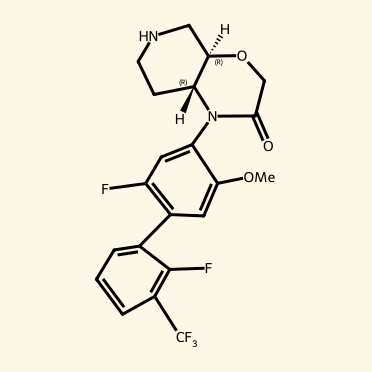 COc1cc(-c2cccc(C(F)(F)F)c2F)c(F)cc1N1C(=O)CO[C@@H]2CNCC[C@H]21